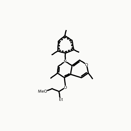 CCC(COC)OC1=C2C=C(C)OC=C2N(c2c(C)cc(C)cc2C)C=C1C